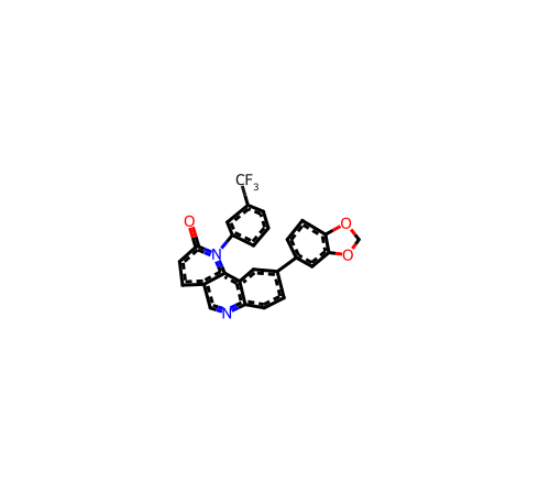 O=c1ccc2cnc3ccc(-c4ccc5c(c4)OCO5)cc3c2n1-c1cccc(C(F)(F)F)c1